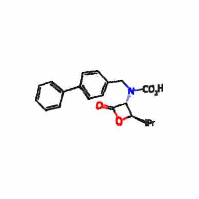 CC(C)[C@H]1OC(=O)[C@@H]1N(Cc1ccc(-c2ccccc2)cc1)C(=O)O